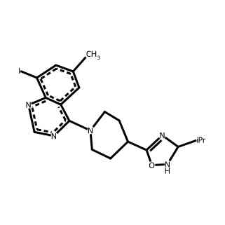 Cc1cc(I)c2ncnc(N3CCC(C4=NC(C(C)C)NO4)CC3)c2c1